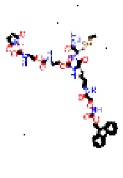 CCSSC[C@H](NC(=O)[C@H](CCCCNC(=O)CONC(=O)OCC1c2ccccc2-c2ccccc21)NC(=O)OCCNC(=O)OCCNC(=O)ON1C(=O)CCC1=O)C(N)=O